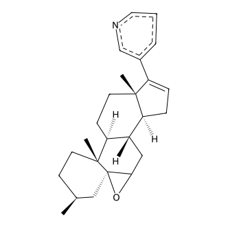 C[C@H]1CC[C@]2(C)[C@H]3CC[C@]4(C)C(c5cccnc5)=CC[C@H]4[C@@H]3CC3O[C@]32C1